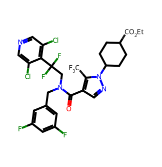 CCOC(=O)C1CCC(n2ncc(C(=O)N(Cc3cc(F)cc(F)c3)CC(F)(F)c3c(Cl)cncc3Cl)c2C(F)(F)F)CC1